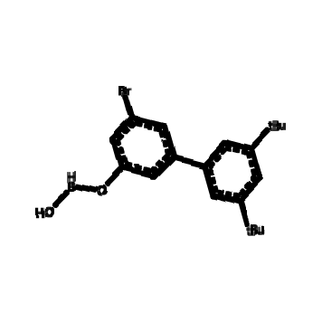 CC(C)(C)c1cc(-c2cc(Br)cc(OBO)c2)cc(C(C)(C)C)c1